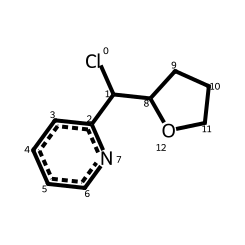 ClC(c1ccccn1)C1CCCO1